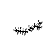 FC(F)(F)OC(F)(C(F)(F)F)C(F)(F)OC(F)(F)C(F)(F)OC(F)(F)C(F)(F)C(F)(F)C(F)(F)C(F)(F)F